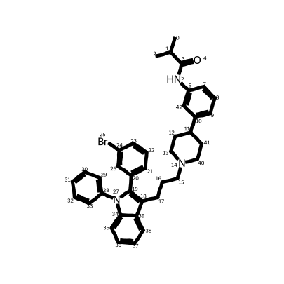 CC(C)C(=O)Nc1cccc(C2CCN(CCCc3c(-c4cccc(Br)c4)n(-c4ccccc4)c4ccccc34)CC2)c1